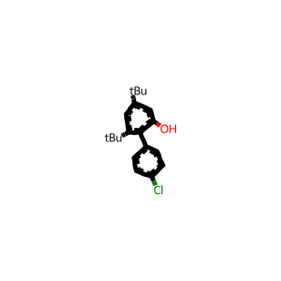 CC(C)(C)c1cc(O)c(-c2ccc(Cl)cc2)c(C(C)(C)C)c1